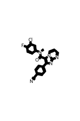 CN(C(=O)c1c(-c2ccc(C#N)cc2)nc2ncccn12)c1ccc(F)c(Cl)c1